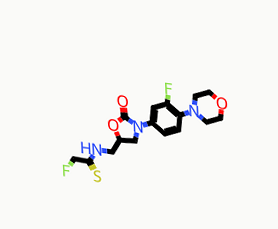 O=C1OC(CNC(=S)CF)CN1c1ccc(N2CCOCC2)c(F)c1